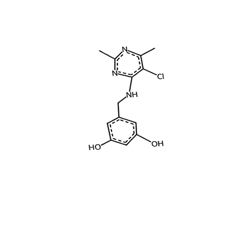 Cc1nc(C)c(Cl)c(NCc2cc(O)cc(O)c2)n1